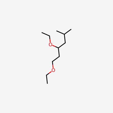 CCOCCC(CC(C)C)OCC